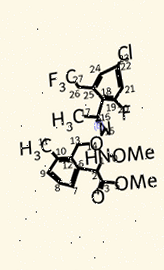 CONC(C(=O)OC)c1cccc(C)c1CO/N=C(\C)c1c(F)cc(Cl)cc1CC(F)(F)F